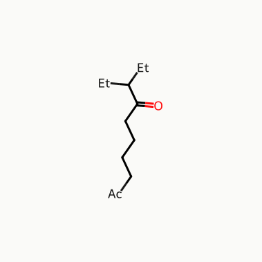 CCC(CC)C(=O)CCCCC(C)=O